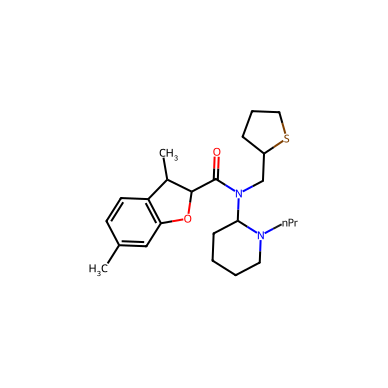 CCCN1CCCCC1N(CC1CCCS1)C(=O)C1Oc2cc(C)ccc2C1C